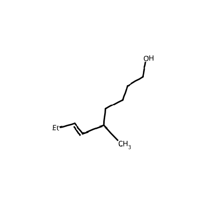 CC/C=C/C(C)CCCCO